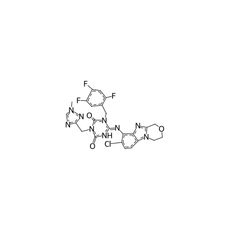 Cn1cnc(Cn2c(=O)[nH]/c(=N\c3c(Cl)ccc4c3nc3n4CCOC3)n(Cc3cc(F)c(F)cc3F)c2=O)n1